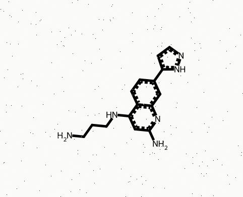 NCCCNc1cc(N)nc2cc(-c3ccn[nH]3)ccc12